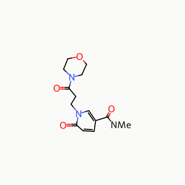 CNC(=O)c1ccc(=O)n(CCC(=O)N2CCOCC2)c1